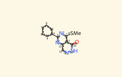 CSc1nc(-c2ccccc2)nc2cn[nH]c(=O)c12